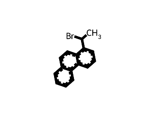 CC(Br)c1cccc2c1ccc1ccccc12